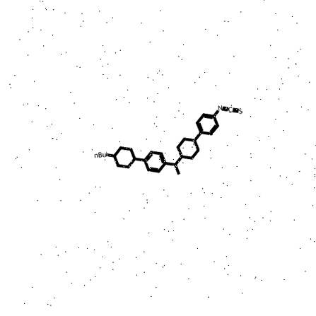 CCCCC1CCC(c2ccc(C(C)C3CCC(c4ccc(N=C=S)cc4)CC3)cc2)CC1